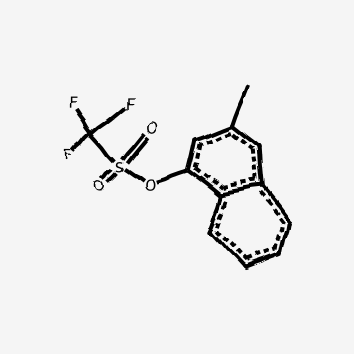 Cc1cc(OS(=O)(=O)C(F)(F)F)c2ccccc2c1